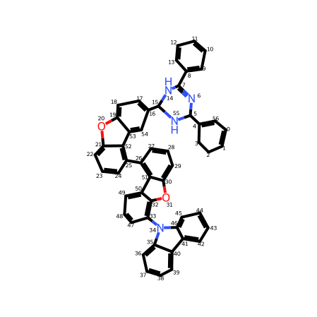 C1=CCCC(C2N=C(c3ccccc3)NC(c3ccc4oc5cccc(-c6cccc7oc8c(-n9c%10ccccc%10c%10ccccc%109)cccc8c67)c5c4c3)N2)=C1